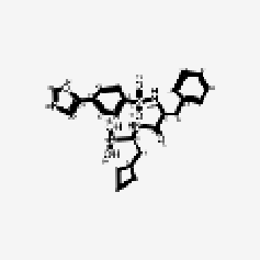 O=C(N[C@@H](CC1CCC1)B(O)O)[C@H](Cc1ccccc1)NS(=O)(=O)c1ccc(-c2cnco2)cc1